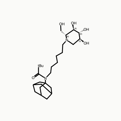 CC(C)(C)C(=O)N(CCCCCCN1C[C@H](O)[C@@H](O)[C@H](O)[C@H]1CO)C12CC3CC(CC(C3)C1)C2